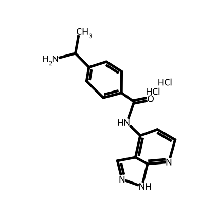 CC(N)c1ccc(C(=O)Nc2ccnc3[nH]ncc23)cc1.Cl.Cl